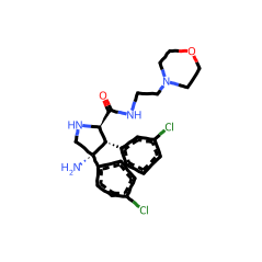 N[C@]1(c2ccc(Cl)cc2)CN[C@@H](C(=O)NCCN2CCOCC2)[C@@H]1c1cccc(Cl)c1